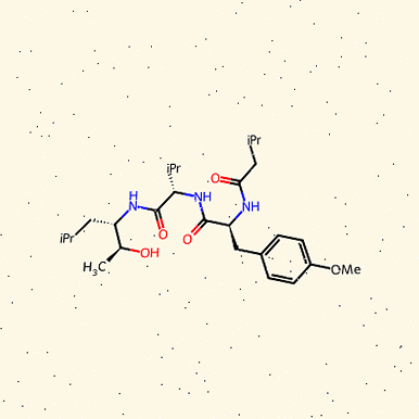 COc1ccc(C[C@H](NC(=O)CC(C)C)C(=O)N[C@H](C(=O)N[C@@H](CC(C)C)[C@H](C)O)C(C)C)cc1